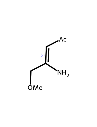 COC/C(N)=C/C(C)=O